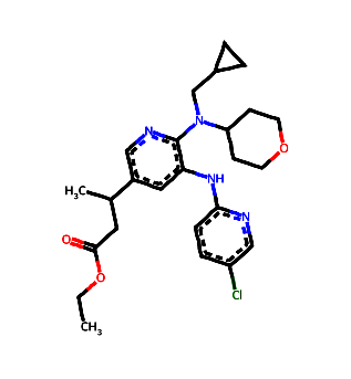 CCOC(=O)CC(C)c1cnc(N(CC2CC2)C2CCOCC2)c(Nc2ccc(Cl)cn2)c1